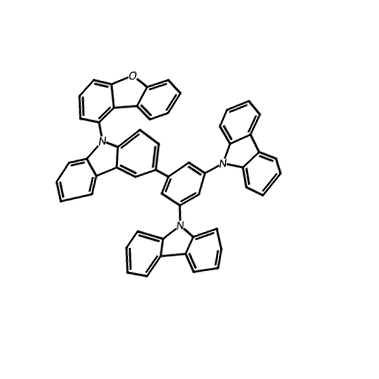 c1ccc2c(c1)oc1cccc(-n3c4ccccc4c4cc(-c5cc(-n6c7ccccc7c7ccccc76)cc(-n6c7ccccc7c7ccccc76)c5)ccc43)c12